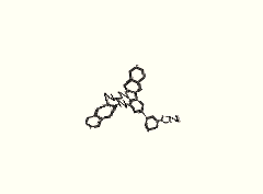 N#Cc1cccc(-c2cc3c4cc5ccccc5cc4n4c3c(c2)n2c3cc5ccccc5cc3nc24)c1